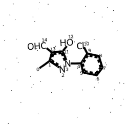 Cc1nn(-c2ccccc2Cl)c(O)c1C=O